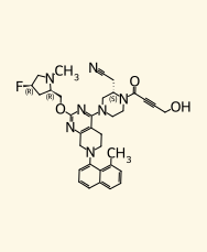 Cc1cccc2cccc(N3CCc4c(nc(OC[C@H]5C[C@@H](F)CN5C)nc4N4CCN(C(=O)C#CCO)[C@@H](CC#N)C4)C3)c12